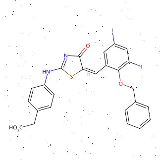 O=C(O)Cc1ccc(NC2=NC(=O)/C(=C\c3cc(I)cc(I)c3OCc3ccccc3)S2)cc1